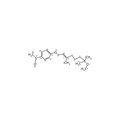 COC(C)(C)CCC/C(C)=C/COc1ccc([S+](C)[O-])cc1